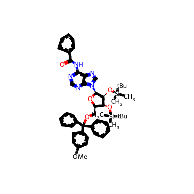 COc1ccc(C(OC[C@H]2O[C@@H](n3cnc4c(NC(=O)c5ccccc5)ncnc43)[C@H](O[Si](C)(C)C(C)(C)C)[C@@H]2O[Si](C)(C)C(C)(C)C)(c2ccccc2)c2ccccc2)cc1